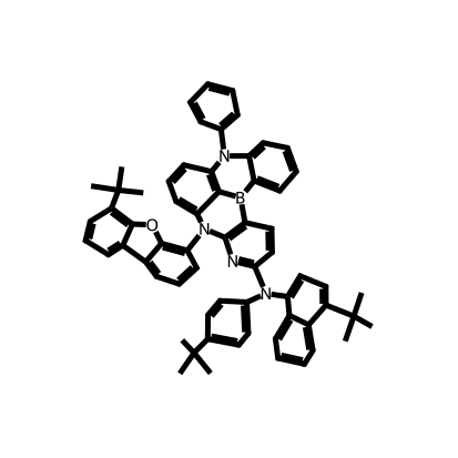 CC(C)(C)c1ccc(N(c2ccc3c(n2)N(c2cccc4c2oc2c(C(C)(C)C)cccc24)c2cccc4c2B3c2ccccc2N4c2ccccc2)c2ccc(C(C)(C)C)c3ccccc23)cc1